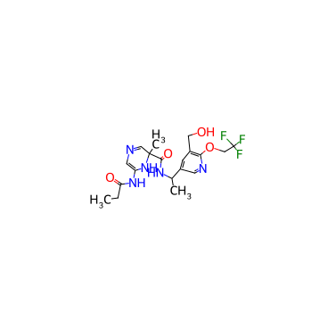 CCC(=O)NC1=CN=CC(C)(C(=O)NC(C)c2cnc(OCC(F)(F)F)c(CO)c2)N1